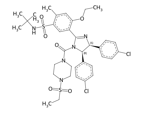 CCOc1cc(C)c(S(=O)(=O)NC(C)(C)C)cc1C1=N[C@@H](c2ccc(Cl)cc2)[C@@H](c2ccc(Cl)cc2)N1C(=O)N1CCN(S(=O)(=O)CC)CC1